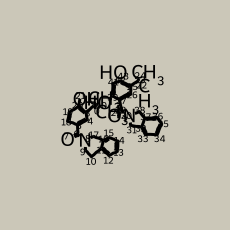 CC(C)c1cc(C(=O)N2CCc3ccccc3C2)ccc1O.CC(C)c1cc(C(=O)N2Cc3ccccc3C2)c(O)cc1O